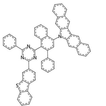 c1ccc(-c2nc(-c3ccc4c(c3)sc3ccccc34)nc(-c3c(-c4ccccc4)cc(-n4c5cc6ccccc6cc5c5cc6ccccc6cc54)c4ccccc34)n2)cc1